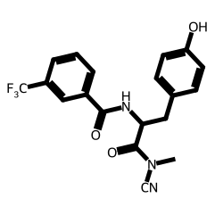 CN(C#N)C(=O)C(Cc1ccc(O)cc1)NC(=O)c1cccc(C(F)(F)F)c1